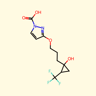 O=C(O)n1ccc(OCCCC2(O)CC2C(F)(F)F)n1